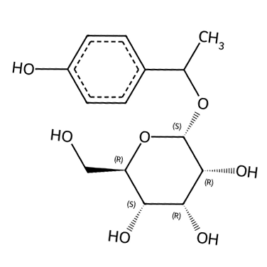 CC(O[C@H]1O[C@H](CO)[C@@H](O)[C@@H](O)[C@H]1O)c1ccc(O)cc1